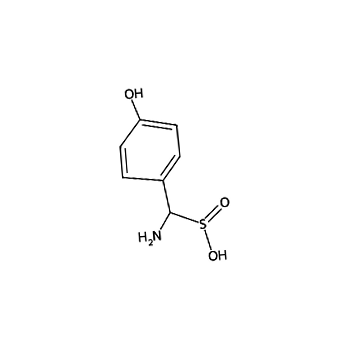 NC(c1ccc(O)cc1)S(=O)O